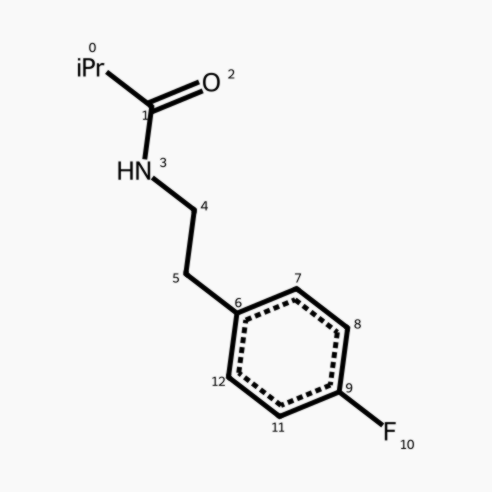 CC(C)C(=O)NCCc1ccc(F)cc1